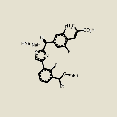 CCCCOC(CC)c1cccc(-c2csc(C(=O)c3cc(F)c(/C=C(\C)C(=O)O)c(F)c3)n2)c1F.[NaH].[NaH]